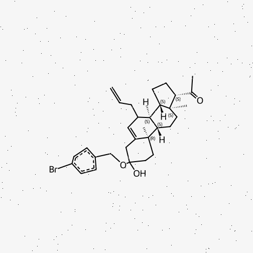 C=CCC1C=C2CC(O)(OCc3ccc(Br)cc3)CC[C@]2(C)[C@H]2CC[C@]3(C)[C@@H](C(C)=O)CC[C@H]3[C@H]12